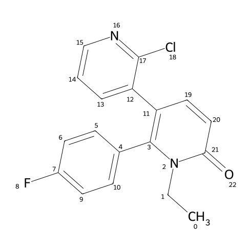 CCn1c(-c2ccc(F)cc2)c(-c2cccnc2Cl)ccc1=O